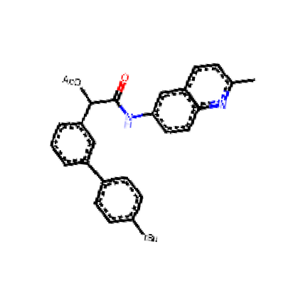 CC(=O)OC(C(=O)Nc1ccc2nc(C)ccc2c1)c1cccc(-c2ccc(C(C)(C)C)cc2)c1